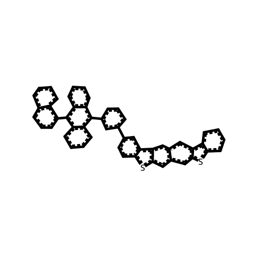 c1cc(-c2ccc3sc4cc5cc6sc7ccccc7c6cc5cc4c3c2)cc(-c2c3ccccc3c(-c3cccc4ccccc34)c3ccccc23)c1